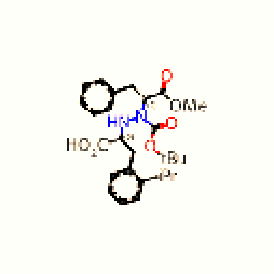 COC(=O)[C@H](Cc1ccccc1)N(N[C@@H](Cc1ccccc1C(C)C)C(=O)O)C(=O)OC(C)(C)C